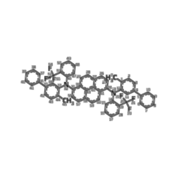 Cc1ccc(-c2ccccc2)cc1N(c1ccccc1C(F)(F)F)c1ccc2ccc3c(N(c4cc(-c5ccccc5)ccc4C)c4ccccc4C(F)(F)F)ccc4ccc1c2c43